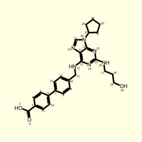 O=C(O)c1ccc(-c2ccc(CNc3nc(NCCCO)nc4c3ncn4C3CCCC3)cc2)cc1